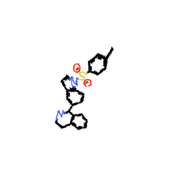 Cc1ccc(S(=O)(=O)n2ccc3cc(C4=NCCc5ccccc54)ccc32)cc1